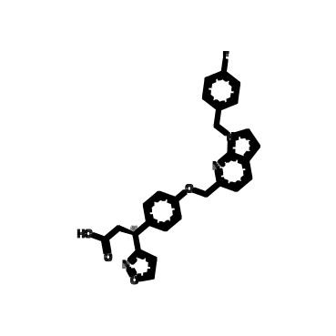 O=C(O)C[C@@H](c1ccc(OCc2ccc3ccn(Cc4ccc(F)cc4)c3n2)cc1)c1ccon1